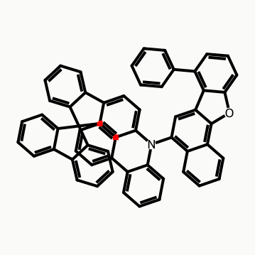 c1ccc(-c2ccccc2N(c2ccc3c(c2)C2(c4ccccc4-c4ccccc42)c2ccccc2-3)c2cc3c(oc4cccc(-c5ccccc5)c43)c3ccccc23)cc1